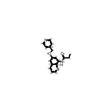 CCC(=O)Nc1cc(OCc2ccncc2)cc2cccnc12